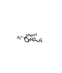 CCCCC[C@H]1[C@@H](CC(C)=O)CC[C@@H]1NCCCN(C)C